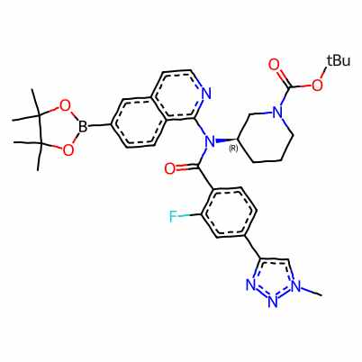 Cn1cc(-c2ccc(C(=O)N(c3nccc4cc(B5OC(C)(C)C(C)(C)O5)ccc34)[C@@H]3CCCN(C(=O)OC(C)(C)C)C3)c(F)c2)nn1